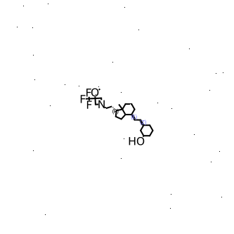 COC1(C(F)(F)F)CN(CC[C@H]2CCC3/C(=C/C=C4/CCCC(O)C4)CCCC32C)C1